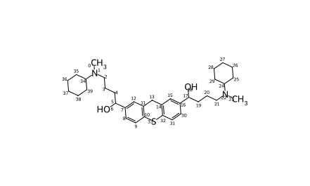 CN(CCCC(O)c1ccc2c(c1)Cc1cc(C(O)CCCN(C)C3CCCCC3)ccc1S2)C1CCCCC1